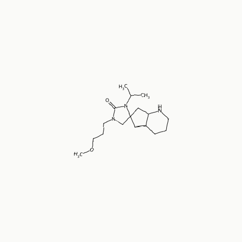 COCCCN1CC2(CC3CCCNC3C2)N(C(C)C)C1=O